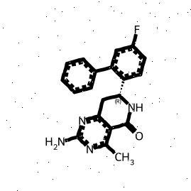 Cc1nc(N)nc2c1C(=O)N[C@@H](c1ccc(F)cc1-c1ccccc1)C2